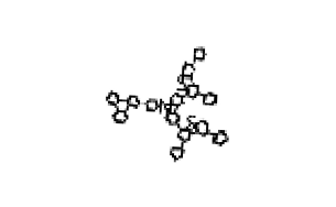 C1=CC(c2ccc3c4ccccc4c4ccccc4c3c2)CC=C1n1c2ccc(-c3cc(-c4ccccc4)cc4c3sc3ccc(-c5ccccc5)cc34)cc2c2cc(-c3cc(-c4ccccc4)cc4c3sc3ccc(-c5ccccc5)cc34)ccc21